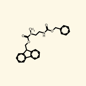 CN(CCNC(=O)OCc1ccccc1)C(=O)OCC1c2ccccc2-c2ccccc21